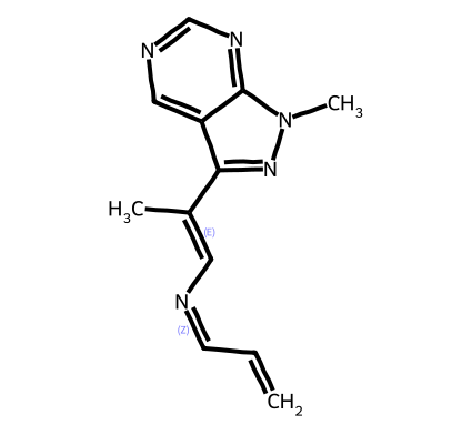 C=C/C=N\C=C(/C)c1nn(C)c2ncncc12